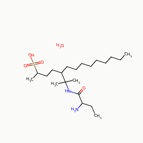 CCCCCCCCCC(CCC(C)S(=O)(=O)O)C(C)(C)NC(=O)C(N)CC.O